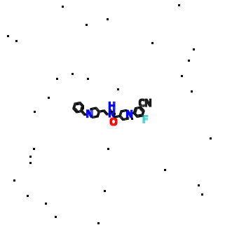 N#Cc1cc(F)cc(N2CCC(C(=O)NCCC3CCN(Cc4ccccc4)CC3)CC2)c1